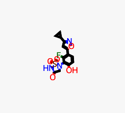 O=C1CN(c2c(O)ccc(-c3cc(C4CC4)no3)c2F)S(=O)(=O)N1